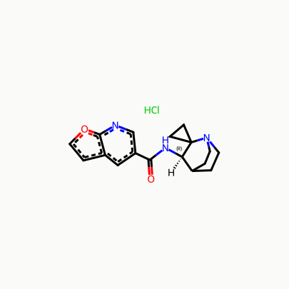 Cl.O=C(N[C@@H]1C2CCN(CC2)C12CC2)c1cnc2occc2c1